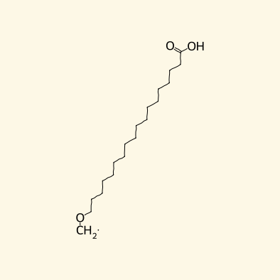 [CH2]OCCCCCCCCCCCCCCCCCC(=O)O